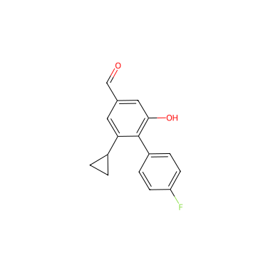 O=Cc1cc(O)c(-c2ccc(F)cc2)c(C2CC2)c1